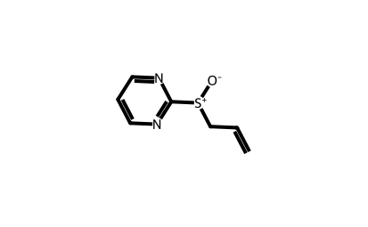 C=CC[S+]([O-])c1ncccn1